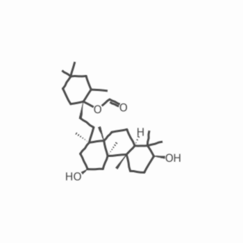 CC1CC(C)(C)CC[C@@]1(CC[C@]1(C)C[C@H](O)C[C@@]2(C)[C@@]1(C)CC[C@H]1C(C)(C)[C@@H](O)CC[C@@]12C)OC=O